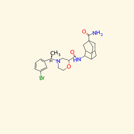 C[C@H](c1cccc(Br)c1)N1CCOC(C(=O)NC2C3CC4CC2CC(C(N)=O)(C4)C3)C1